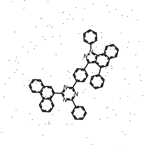 c1ccc(-c2nc(-c3ccc(-c4nn(-c5ccccc5)c5c4c(-c4ccccc4)cc4ccccc45)cc3)nc(-c3cc4ccccc4c4ccccc34)n2)cc1